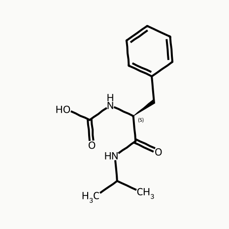 CC(C)NC(=O)[C@H](Cc1ccccc1)NC(=O)O